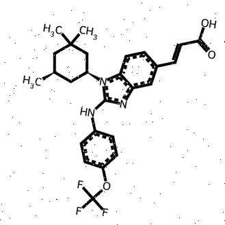 C[C@@H]1C[C@H](n2c(Nc3ccc(OC(F)(F)F)cc3)nc3cc(/C=C/C(=O)O)ccc32)CC(C)(C)C1